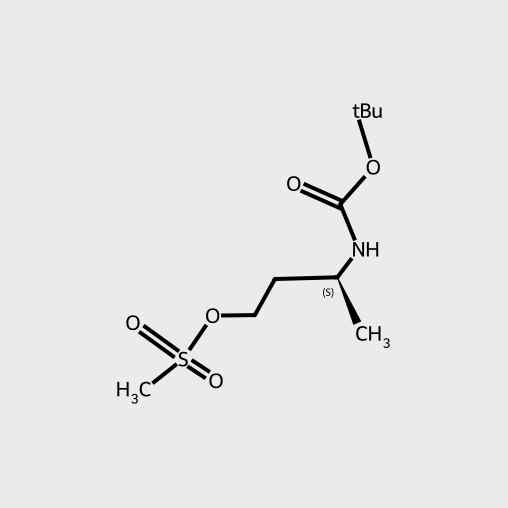 C[C@@H](CCOS(C)(=O)=O)NC(=O)OC(C)(C)C